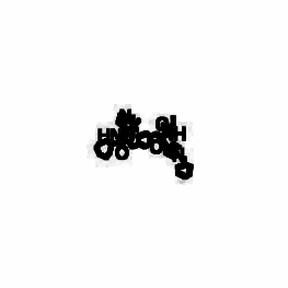 CCC(=O)N/C(=C/c1ccc(CNC(=O)[C@@H](NC(=O)c2ccnn2C(C)C)C2CCCCCC2)cc1)C(=O)N1CCN(Cc2ccccc2)CC1